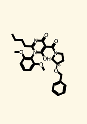 CCCCc1nc(=O)c(C(=O)N2CC[C@@H](OCc3ccccc3)C2)c(O)n1-c1c(OC)cccc1OC